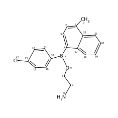 Cc1ccc(B(OCCN)c2ccc(Cl)cc2)c2ccccc12